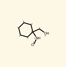 OCC1(NCl)CCCCC1